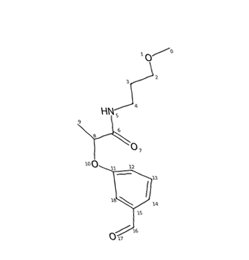 COCCCNC(=O)C(C)Oc1cccc(C=O)c1